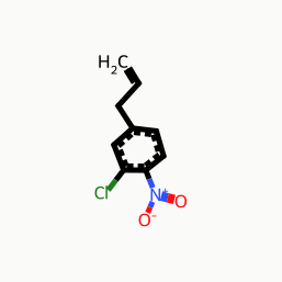 C=CCc1ccc([N+](=O)[O-])c(Cl)c1